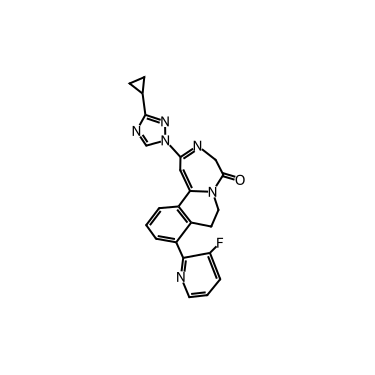 O=C1CN=C(n2cnc(C3CC3)n2)C=C2c3cccc(-c4ncccc4F)c3CCN12